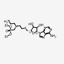 CCOP(=O)(CN(CCN)CCSC[C@H]1O[C@@H](n2cnc3c(N)ncnc32)C(O)C1O)OCC